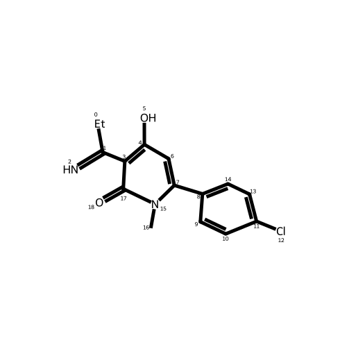 CCC(=N)c1c(O)cc(-c2ccc(Cl)cc2)n(C)c1=O